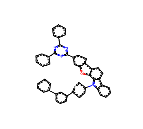 c1ccc(-c2cccc(-c3ccc(-n4c5ccccc5c5ccc6c7ccc(-c8nc(-c9ccccc9)nc(-c9ccccc9)n8)cc7oc6c54)cc3)c2)cc1